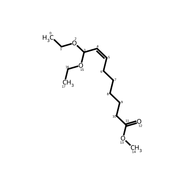 CCOC(/C=C\CCCCCC(=O)OC)OCC